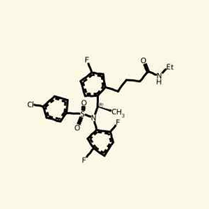 CCNC(=O)CCCc1cc(F)ccc1[C@@H](C)N(c1cc(F)ccc1F)S(=O)(=O)c1ccc(Cl)cc1